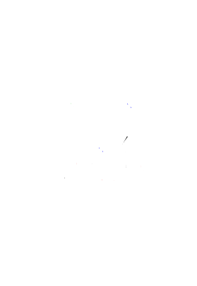 COC(=O)[C@H](Cc1cc(Cl)ccn1)N(C)C(=O)OC(C)(C)C